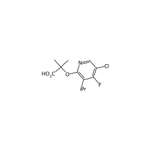 CC(C)c1c(OC(C)(C)C(=O)O)ncc(Cl)c1F